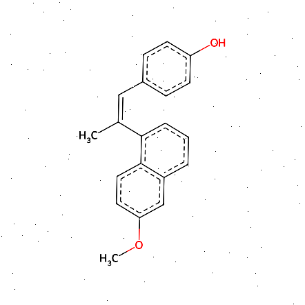 COc1ccc2c(/C(C)=C\c3ccc(O)cc3)cccc2c1